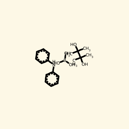 CC(C)(O)C(C)(C)O.OB(O)O.c1ccc(Nc2ccccc2)cc1